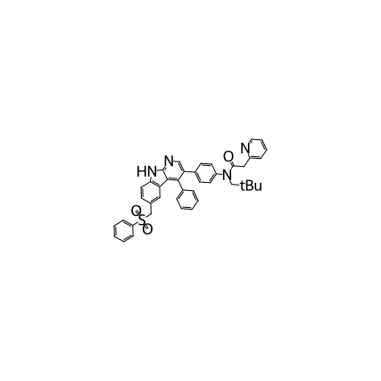 CC(C)(C)CN(C(=O)Cc1ccccn1)c1ccc(-c2cnc3[nH]c4ccc(CS(=O)(=O)c5ccccc5)cc4c3c2-c2ccccc2)cc1